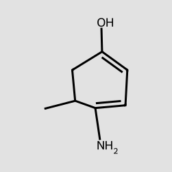 CC1CC(O)=CC=C1N